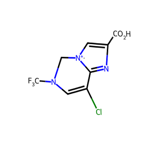 O=C(O)C1=C[N+]2CN(C(F)(F)F)C=C(Cl)C2=N1